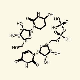 O=C1NC(O)CCN1[C@@H]1O[C@H](CO)[C@@H](O)[C@H]1O.O=c1ccn([C@@H]2O[C@H](COP(=O)(O)OP(=O)(O)O)[C@@H](O)[C@H]2O)c(=O)[nH]1